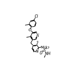 CNS(=O)(=O)Nc1nccc(Cc2cncc(Oc3ccc(Cl)cc3C)c2C)c1F